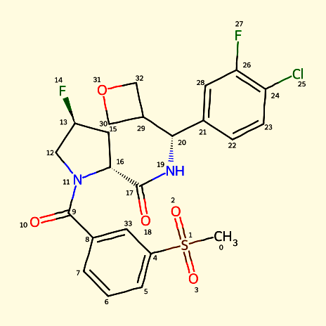 CS(=O)(=O)c1cccc(C(=O)N2C[C@@H](F)C[C@@H]2C(=O)N[C@@H](c2ccc(Cl)c(F)c2)C2COC2)c1